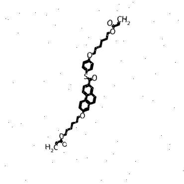 C=CC(=O)OCCCCCCOc1ccc(SC(=O)c2ccc3c(ccc4cc(OCCCCCCOC(=O)C=C)ccc43)c2)cc1